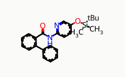 CC(C)(C)[Si](C)(C)Oc1ccc(NC(=O)c2ccccc2-c2ccccc2)nc1